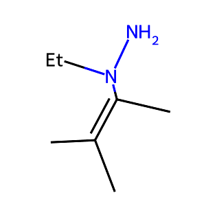 CCN(N)C(C)=C(C)C